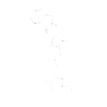 BBB(B)B(CCCCc1c(C)[nH]c(/C=C2\C(=O)Nc3ccccc32)c1C)C(=O)NOC